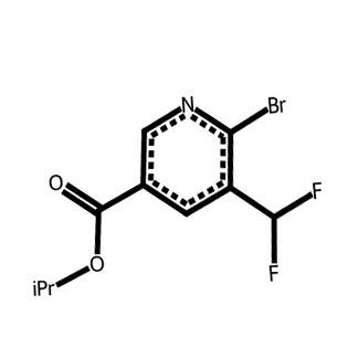 CC(C)OC(=O)c1cnc(Br)c(C(F)F)c1